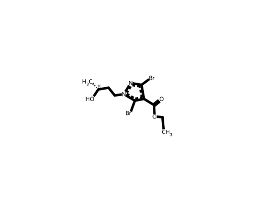 CCOC(=O)c1c(Br)nn(CC[C@@H](C)O)c1Br